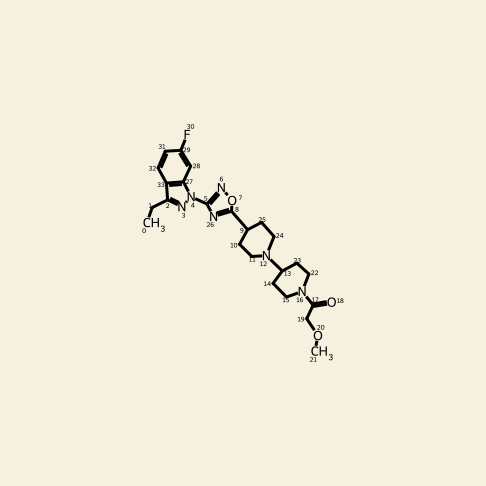 CCc1nn(-c2noc(C3CCN(C4CCN(C(=O)COC)CC4)CC3)n2)c2cc(F)ccc12